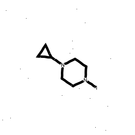 IN1CCN(C2CC2)CC1